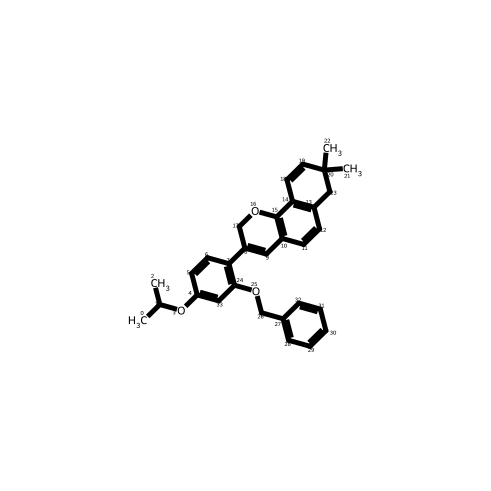 CC(C)Oc1ccc(C2=Cc3ccc4c(c3OC2)C=CC(C)(C)C4)c(OCc2ccccc2)c1